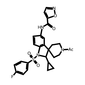 CC(=O)N1CCC2(CC1)c1cc(NC(=O)c3ccno3)ccc1N(S(=O)(=O)c1ccc(F)cc1)C2C1CC1